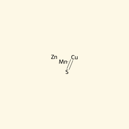 [Mn].[S]=[Cu].[Zn]